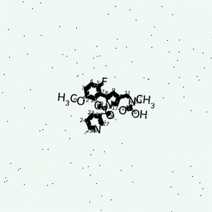 COc1ccc(F)c(-c2cc(CN(C)C(=O)O)cn2S(=O)(=O)c2cccnc2)c1